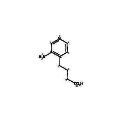 Nc1cnccc1CCCC(=O)O